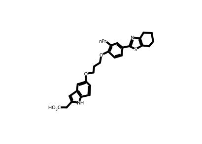 CCCc1cc(-c2nc3c(s2)CCCC3)ccc1OCCCOc1ccc2[nH]c(CC(=O)O)cc2c1